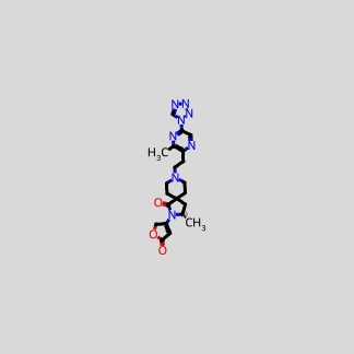 Cc1nc(-n2cnnn2)cnc1CCN1CCC2(CC1)C[C@H](C)N(C1=CC(=O)OC1)C2=O